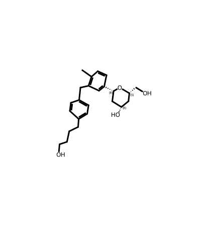 Cc1ccc([C@H]2C[C@@H](O)C[C@@H](CO)O2)cc1Cc1ccc(CCCCO)cc1